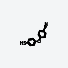 N#Cc1ccc(Oc2ccc(S)cc2)cc1